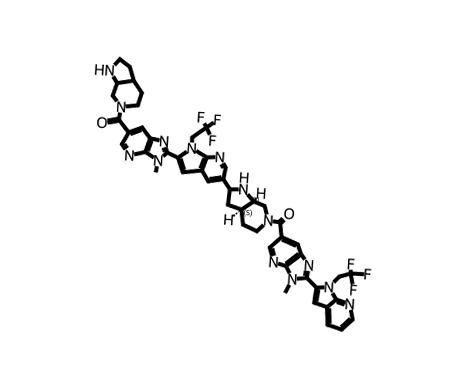 Cn1c(-c2cc3cc(C4C[C@@H]5CCN(C(=O)c6cnc7c(c6)nc(-c6cc8cccnc8n6CC(F)(F)F)n7C)C[C@@H]5N4)cnc3n2CC(F)(F)F)nc2cc(C(=O)N3CCC4CCNC4C3)cnc21